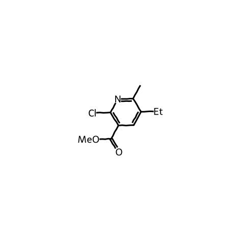 CCc1cc(C(=O)OC)c(Cl)nc1C